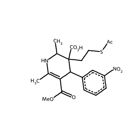 COC(=O)C1=C(C)NC(C)C(CCSC(C)=O)(C(=O)O)C1c1cccc([N+](=O)[O-])c1